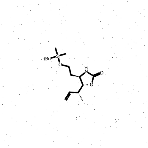 C=C[C@@H](C)[C@H]1OC(=O)N[C@@H]1CCO[Si](C)(C)C(C)(C)C